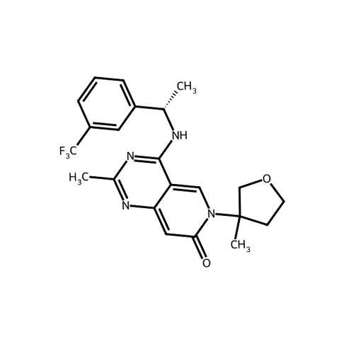 Cc1nc(N[C@@H](C)c2cccc(C(F)(F)F)c2)c2cn(C3(C)CCOC3)c(=O)cc2n1